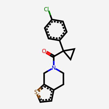 O=C(N1CCc2ccsc2C1)C1(c2ccc(Cl)cc2)CC1